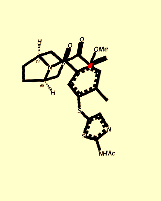 C=CC(=O)N1C[C@H]2CC[C@@H](C1)N2C(=O)c1cc(Sc2cnc(NC(C)=O)s2)c(C)cc1OC